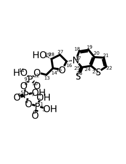 O=P(O)(O)OP(=O)(O)OP(=O)(O)OCC1O[C@@H](n2ccc3ccsc3c2=S)C[C@H]1O